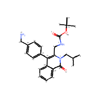 CC(C)Cn1c(CNC(=O)OC(C)(C)C)c(-c2ccc(CN)cc2)c2ccccc2c1=O